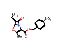 CC=C1C(=O)N2C(C(=O)OCc3ccc([N+](=O)[O-])cc3)=C(C(C)(C)C)OC12